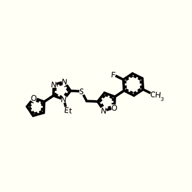 CCn1c(SCc2cc(-c3cc(C)ccc3F)on2)nnc1-c1ccco1